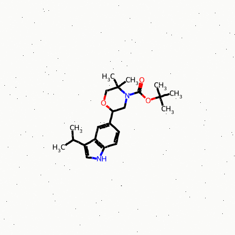 CC(C)c1c[nH]c2ccc(C3CN(C(=O)OC(C)(C)C)C(C)(C)CO3)cc12